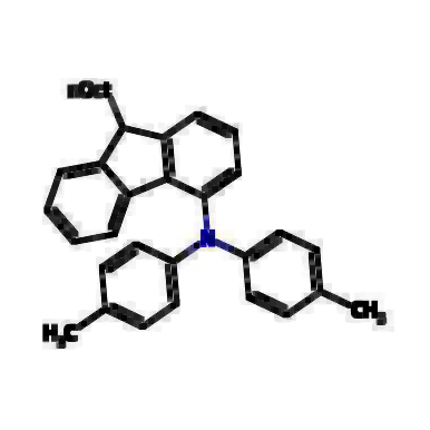 CCCCCCCCC1c2ccccc2-c2c1cccc2N(c1ccc(C)cc1)c1ccc(C)cc1